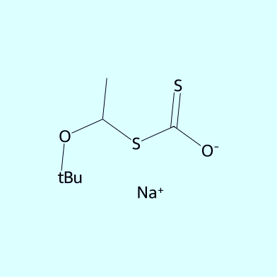 CC(OC(C)(C)C)SC([O-])=S.[Na+]